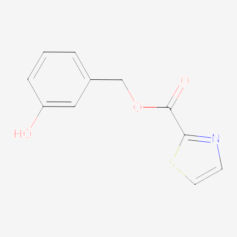 O=C(OCc1cccc(O)c1)c1nccs1